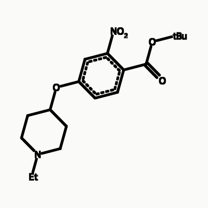 CCN1CCC(Oc2ccc(C(=O)OC(C)(C)C)c([N+](=O)[O-])c2)CC1